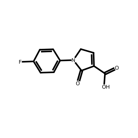 O=C(O)C1=CCN(c2ccc(F)cc2)C1=O